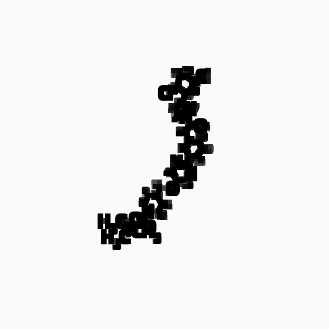 CC(C)(C)OC(=O)N1CCC(COc2cnc(-c3cccc(CC(=O)N4CCC(c5cc(Cl)ccc5Cl)=N4)c3)nc2)CC1